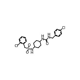 O=C(NCc1ccc(Cl)cc1)NC1CCC(NS(=O)(=O)Cc2ccccc2Cl)CC1